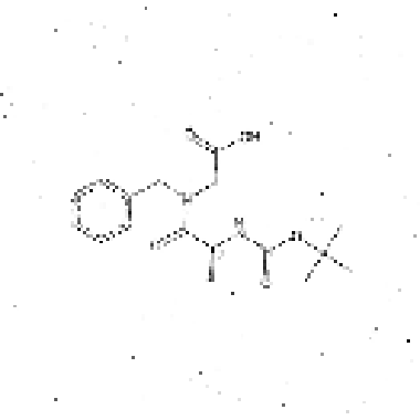 C[C@H](NC(=O)OC(C)(C)C)C(=O)N(CC(=O)O)Cc1ccccc1